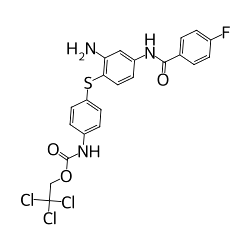 Nc1cc(NC(=O)c2ccc(F)cc2)ccc1Sc1ccc(NC(=O)OCC(Cl)(Cl)Cl)cc1